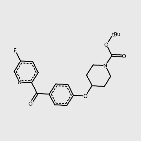 CC(C)(C)OC(=O)N1CCC(Oc2ccc(C(=O)c3ccc(F)cn3)cc2)CC1